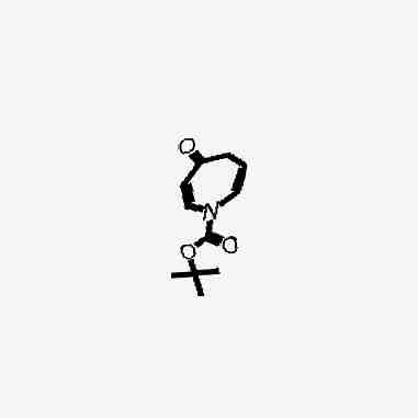 CC(C)(C)OC(=O)N1C=CCC(=O)C=C1